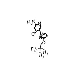 CC(C)(COc1ccn(-c2cnc(N)cc2Cl)n1)C(F)(F)F